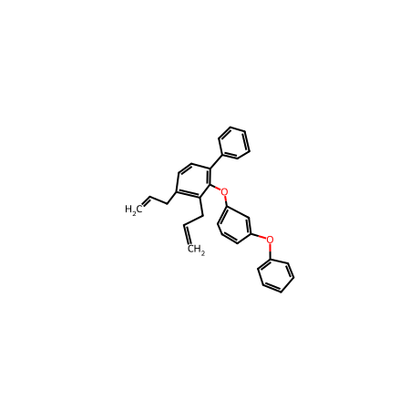 C=CCc1ccc(-c2ccccc2)c(Oc2cccc(Oc3ccccc3)c2)c1CC=C